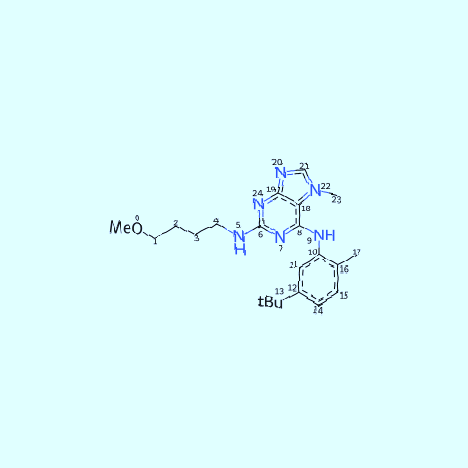 COCCCCNc1nc(Nc2cc(C(C)(C)C)ccc2C)c2c(ncn2C)n1